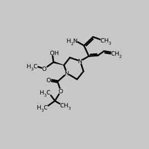 C=C/C=C(\C(N)=C/C)N1CCN(C(=O)OC(C)(C)C)[C@@H](C(O)OC)C1